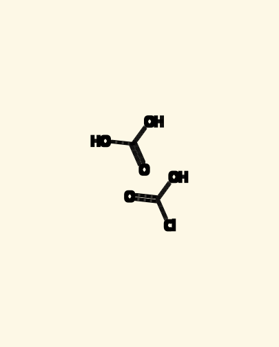 O=C(O)Cl.O=C(O)O